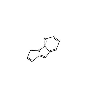 [c]1ccc2cc3n(c2n1)CC=C3